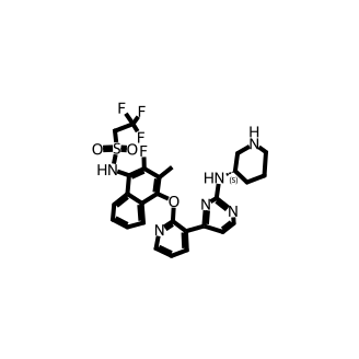 Cc1c(F)c(NS(=O)(=O)CC(F)(F)F)c2ccccc2c1Oc1ncccc1-c1ccnc(N[C@H]2CCCNC2)n1